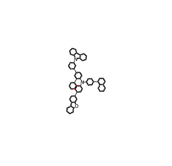 c1ccc(-c2cc(-c3cccc(-n4c5ccccc5c5ccccc54)c3)ccc2N(c2ccc(-c3ccc4c(c3)oc3ccccc34)cc2)c2ccc(-c3cccc4ccccc34)cc2)cc1